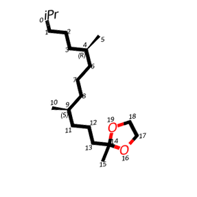 CC(C)CCC[C@@H](C)CCC[C@H](C)CCCC1(C)OCCO1